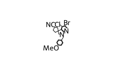 COc1ccc(CN2CC3(CCC(C#N)C3)c3c2ncc(Br)c3Cl)cc1